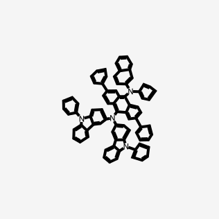 c1ccc(-c2ccc3c(N(c4ccc5c(c4)c4ccccc4n5-c4ccccc4)c4ccc5c(c4)c4ccccc4n5-c4ccccc4)c4cc(-c5ccccc5)ccc4c(N(c4ccccc4)c4ccc5ccccc5c4)c3c2)cc1